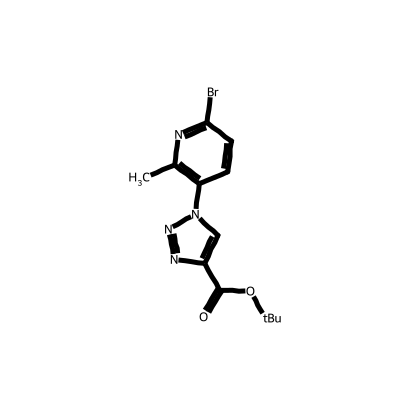 Cc1nc(Br)ccc1-n1cc(C(=O)OC(C)(C)C)nn1